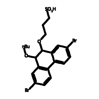 CCCCOC1c2cc(Br)ccc2-c2ccc(Br)cc2C1OCCCS(=O)(=O)O